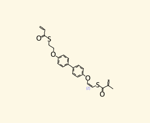 C=CC(=O)SCCOc1ccc(-c2ccc(O/C=C\SC(=O)C(=C)C)cc2)cc1